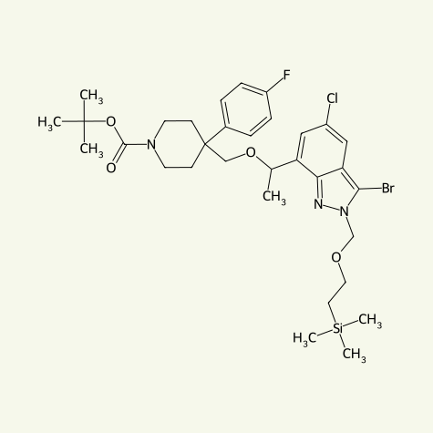 CC(OCC1(c2ccc(F)cc2)CCN(C(=O)OC(C)(C)C)CC1)c1cc(Cl)cc2c(Br)n(COCC[Si](C)(C)C)nc12